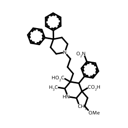 COCCC1(C(=O)O)C(C)NC(C)C(CCCN2CCC(c3ccccc3)(c3ccccc3)CC2)(C(=O)O)C1c1cccc([N+](=O)[O-])c1